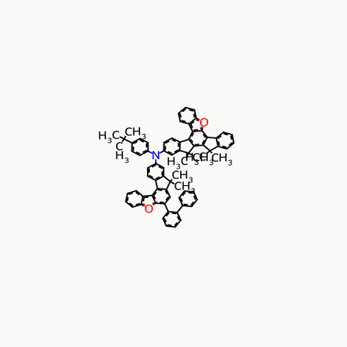 CC(C)(C)c1ccc(N(c2ccc3c(c2)C(C)(C)c2cc(-c4ccccc4-c4ccccc4)c4oc5ccccc5c4c2-3)c2ccc3c(c2)C(C)(C)c2c4c(c5oc6ccccc6c5c2-3)-c2ccccc2C4(C)C)cc1